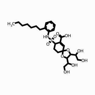 CCCCCCCc1ccccc1NS(=O)(=O)C1CCC2(C=C1C(=O)O)OC(C(O)CO)C(C(O)CO)O2